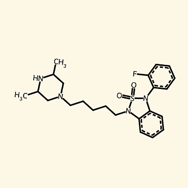 CC1CN(CCCCCN2c3ccccc3N(c3ccccc3F)S2(=O)=O)CC(C)N1